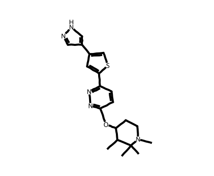 CC1C(Oc2ccc(-c3cc(-c4cn[nH]c4)cs3)nn2)CCN(C)C1(C)C